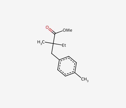 CCC(C)(Cc1ccc(C)cc1)C(=O)OC